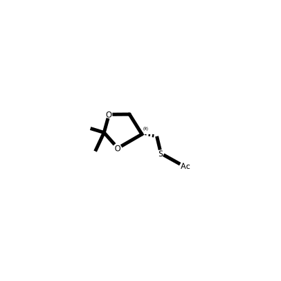 CC(=O)SC[C@H]1COC(C)(C)O1